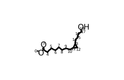 COC(=O)CCCCCCCC1CC1CCCCO